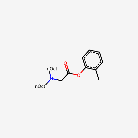 CCCCCCCCN(CCCCCCCC)CC(=O)Oc1ccccc1C